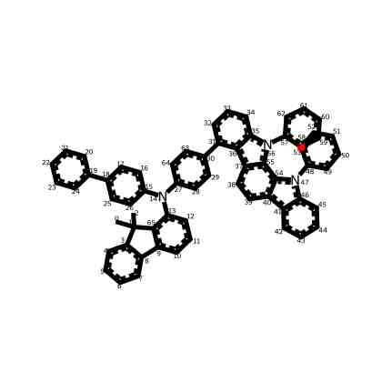 CC1(C)c2ccccc2-c2cccc(N(c3ccc(-c4ccccc4)cc3)c3ccc(-c4cccc5c4c4ccc6c7ccccc7n(-c7ccccc7)c6c4n5-c4ccccc4)cc3)c21